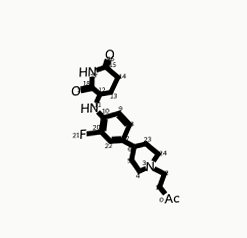 CC(=O)CCN1CCC(c2ccc(NC3CCC(=O)NC3=O)c(F)c2)CC1